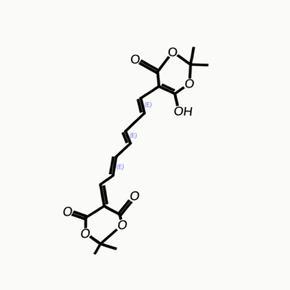 CC1(C)OC(=O)C(=C/C=C/C=C/C=C/C2=C(O)OC(C)(C)OC2=O)C(=O)O1